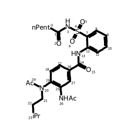 CCCCCC(=O)NS(=O)(=O)c1ccccc1NC(=O)c1ccc(N(CCC(C)C)C(C)=O)c(NC(C)=O)c1